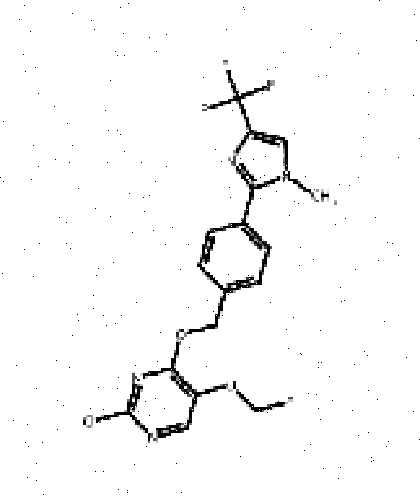 Cn1cc(C(F)(F)F)nc1-c1ccc(COc2nc(Cl)ncc2OCF)cc1